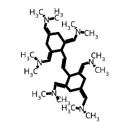 CN(C)C=C1CC(=CN(C)C)C(C=CC2C(=CN(C)C)CC(=CN(C)C)CC2=CN(C)C)C(=CN(C)C)C1